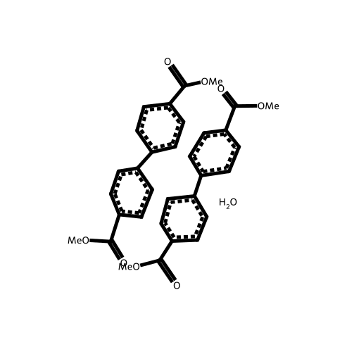 COC(=O)c1ccc(-c2ccc(C(=O)OC)cc2)cc1.COC(=O)c1ccc(-c2ccc(C(=O)OC)cc2)cc1.O